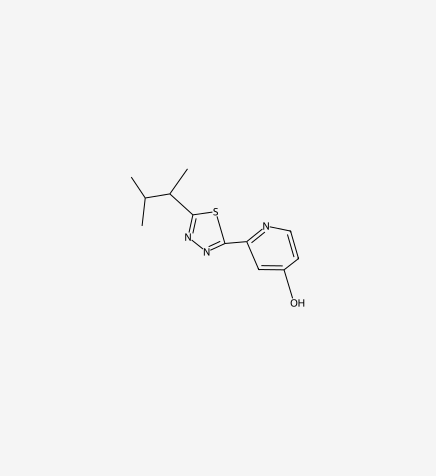 CC(C)C(C)c1nnc(-c2cc(O)ccn2)s1